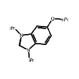 CCCOc1ccc2c(c1)N(C(C)C)CN2C(C)C